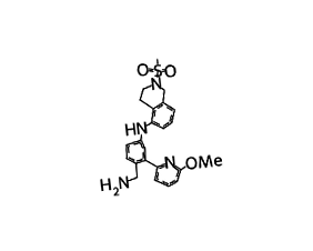 COc1cccc(-c2cc(Nc3cccc4c3CCN(S(C)(=O)=O)C4)ccc2CN)n1